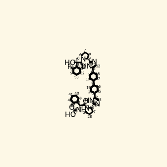 C[C@@](O)(C(=O)N1CCC[C@H]1c1ncc(-c2ccc(-c3ccc(-c4cnc([C@@H]5CCCN5C(=O)[C@H](NC(=O)O)c5ccccc5)[nH]4)cc3)cc2)[nH]1)c1ccccc1F